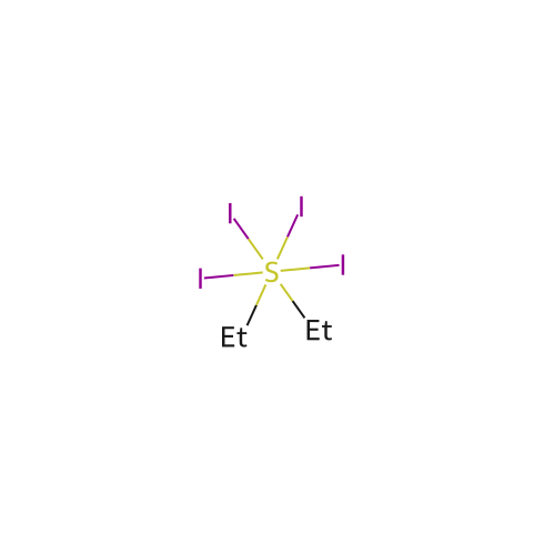 CCS(I)(I)(I)(I)CC